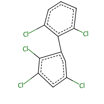 Clc1cc(Cl)c(Cl)c(-c2c(Cl)cccc2Cl)c1